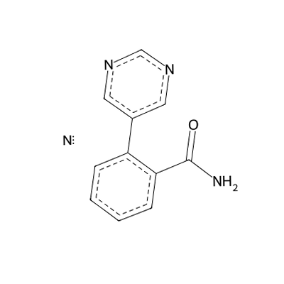 NC(=O)c1ccccc1-c1cncnc1.[N]